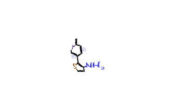 C=C(I)/C=C\C(=C/C)c1sccc1N